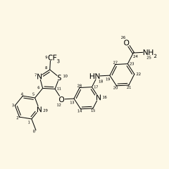 Cc1cccc(-c2nc(C(F)(F)F)sc2Oc2ccnc(Nc3cccc(C(N)=O)c3)c2)n1